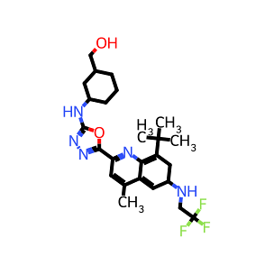 Cc1cc(-c2nnc(NC3CCCC(CO)C3)o2)nc2c1=CC(NCC(F)(F)F)CC=2C(C)(C)C